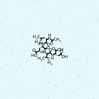 CC(=O)N[C@@H](CC(C)C)C(=O)N[C@@H](CCC(=O)O)C(=O)N[C@H](C(=O)N[C@@H](CC(=O)O)C(=O)O)C(C)C